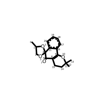 CC1COC2(O1)C(=O)C1=C(OC(C)(C)CC1)c1ccccc12